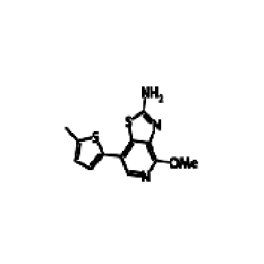 COc1ncc(-c2ccc(C)s2)c2sc(N)nc12